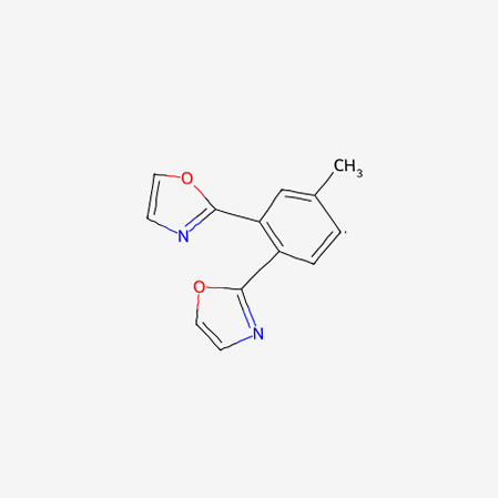 Cc1[c]cc(-c2ncco2)c(-c2ncco2)c1